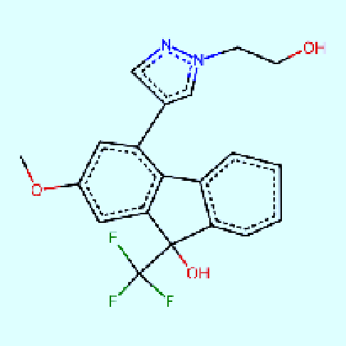 COc1cc(-c2cnn(CCO)c2)c2c(c1)C(O)(C(F)(F)F)c1ccccc1-2